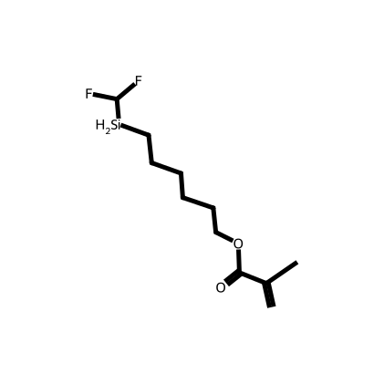 C=C(C)C(=O)OCCCCCC[SiH2]C(F)F